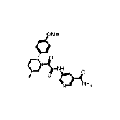 COc1ccc([C@H]2CC[C@H](C)CN2C(=O)C(=O)Nc2cncc(C(N)=O)c2)cc1